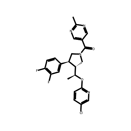 Cc1ncc(C(=O)N2C[C@H]([C@H](C)Oc3ccc(Cl)cn3)[C@@H](c3ccc(F)c(F)c3)C2)cn1